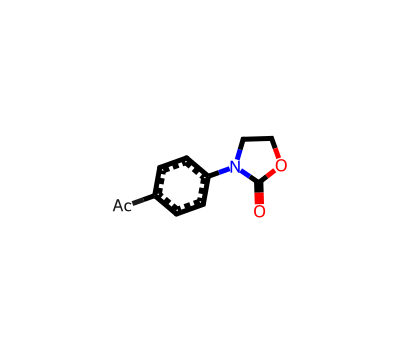 CC(=O)c1ccc(N2CCOC2=O)cc1